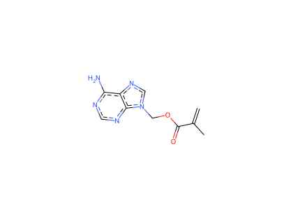 C=C(C)C(=O)OCn1cnc2c(N)ncnc21